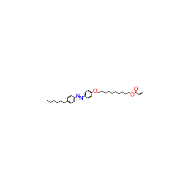 C=CC(=O)OCCCCCCCCCCOc1ccc(/N=N/c2ccc(CCCCCC)cc2)cc1